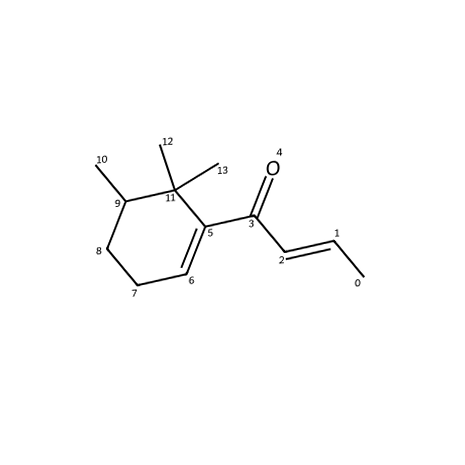 CC=CC(=O)C1=CCCC(C)C1(C)C